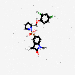 C=C1C(=O)N(C(C)C)c2ccc(S(=O)(=O)N3CCC[C@H]3COc3ccc(F)cc3F)cc21